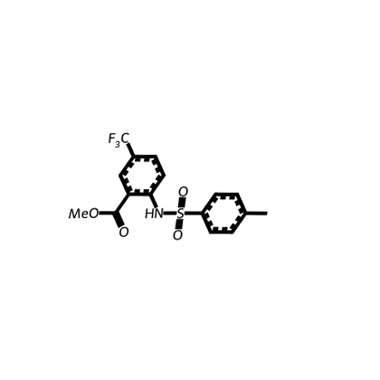 COC(=O)c1cc(C(F)(F)F)ccc1NS(=O)(=O)c1ccc(C)cc1